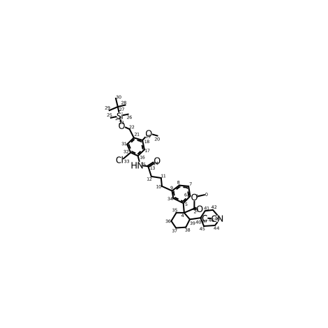 COC(=O)C1(c2cccc(CCCC(=O)Nc3cc(OC)c(CO[Si](C)(C)C(C)(C)C)cc3Cl)c2)CCCCC1C12CCN(CC1)CC2